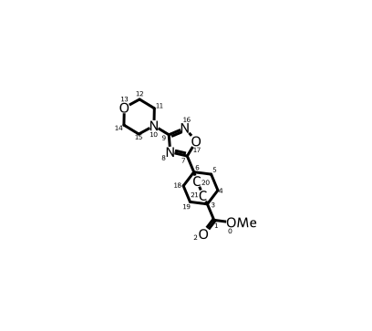 COC(=O)C12CCC(c3nc(N4CCOCC4)no3)(CC1)CC2